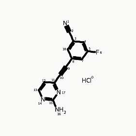 Cl.N#Cc1cc(F)cc(C#Cc2ccnc(N)n2)c1